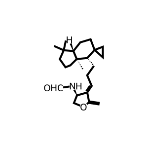 C=C1OC[C@@H](NC=O)/C1=C\CC[C@H]1C2(CC[C@H]3C(C)(C)CCC[C@@]31C)CC2